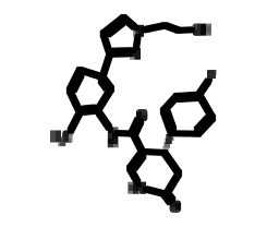 Cc1ccc(-c2ccn(CCO)n2)cc1NC(=O)C1=CNC(=O)C[C@H]1c1ccc(F)cc1